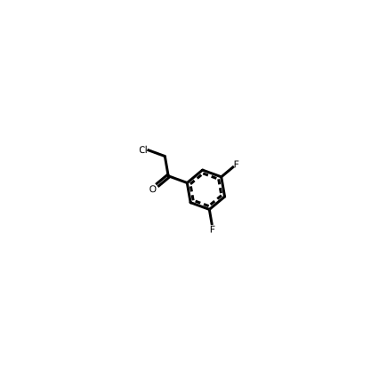 O=C(CCl)c1cc(F)cc(F)c1